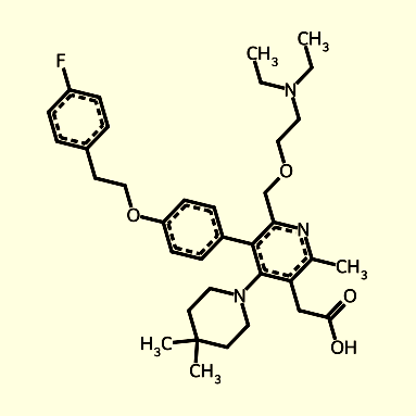 CCN(CC)CCOCc1nc(C)c(CC(=O)O)c(N2CCC(C)(C)CC2)c1-c1ccc(OCCc2ccc(F)cc2)cc1